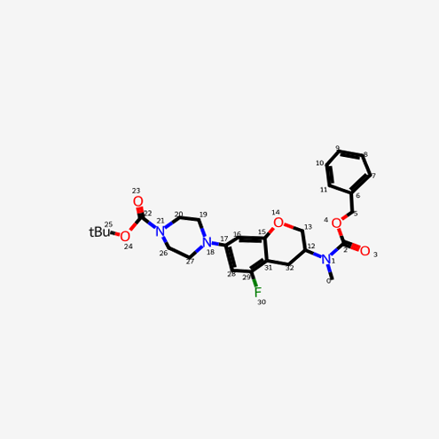 CN(C(=O)OCc1ccccc1)C1COc2cc(N3CCN(C(=O)OC(C)(C)C)CC3)cc(F)c2C1